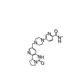 CNC(=O)c1ccc(N2CCN(Cc3cnc4c(c3)NC(=O)N3CCCC43)CC2)cn1